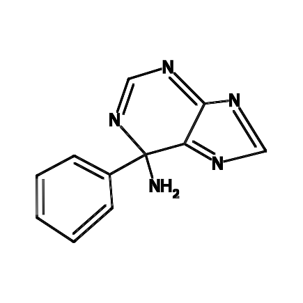 NC1(c2ccccc2)N=CN=C2N=CN=C21